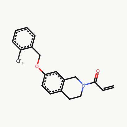 C=CC(=O)N1CCc2ccc(OCc3ccccc3C(F)(F)F)cc2C1